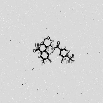 CN(C(=O)c1cnc(C(F)(F)F)c(Cl)c1)C1COCc2[nH]c(=O)c3cc(F)c(F)cc3c21